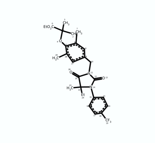 CCOC(=O)C(C)(C)Oc1c(C)cc(CN2C(=O)N(c3ccc(C(F)(F)F)cc3)C(C)(CC)C2=O)cc1C